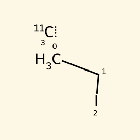 CCI.[11C]